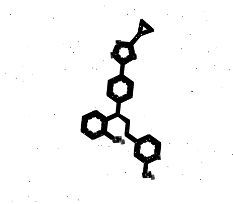 Cc1cc(CC[C@H](c2ccc(-c3nnc(C4CC4)o3)cc2)c2ccccc2C)ccn1